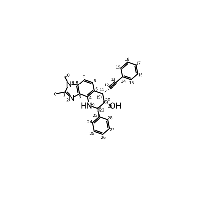 Cc1nc2c3c(ccc2n1C)[C@H](C#Cc1ccccc1)[C@H](O)[C@@H](c1ccccc1)N3